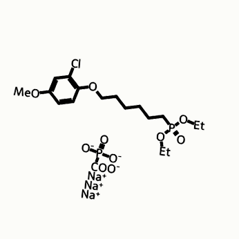 CCOP(=O)(CCCCCCOc1ccc(OC)cc1Cl)OCC.O=C([O-])P(=O)([O-])[O-].[Na+].[Na+].[Na+]